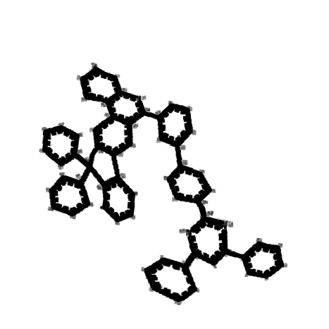 c1ccc(-c2cc(-c3ccccc3)nc(-c3ccc(-c4cccc(-c5nc6ccccc6c6cc7c(cc56)-c5ccccc5C7(c5ccccc5)c5ccccc5)c4)cc3)n2)cc1